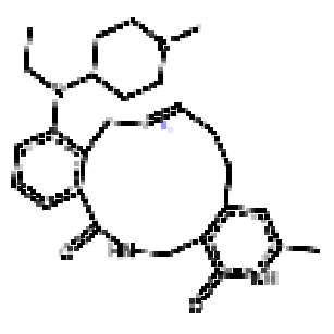 CCN(c1cccc2c1C/C=C/CCc1cc(C)[nH]c(=O)c1CNC2=O)C1CCN(C)CC1